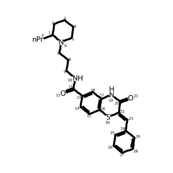 CCCC1CCCCN1CCCNC(=O)c1ccc2c(c1)NC(=O)/C(=C/c1ccccc1)S2